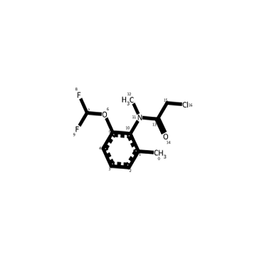 Cc1cccc(OC(F)F)c1N(C)C(=O)CCl